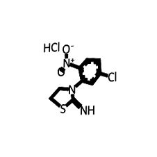 Cl.N=C1SCCN1c1cc(Cl)ccc1[N+](=O)[O-]